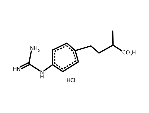 CC(CCc1ccc(NC(=N)N)cc1)C(=O)O.Cl